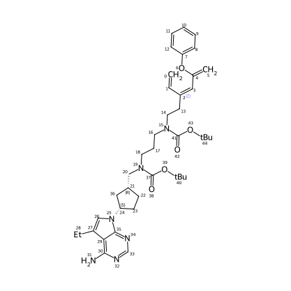 C=C/C(=C\C(=C)Oc1ccccc1)CCN(CCCN(C[C@@H]1CC[C@H](n2cc(CC)c3c(N)ncnc32)C1)C(=O)OC(C)(C)C)C(=O)OC(C)(C)C